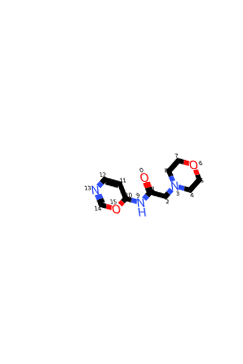 O=C(CN1CCOCC1)NC1C=CN=CO1